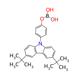 CC(C)(C)c1ccc2c(c1)c1cc(C(C)(C)C)ccc1n2-c1ccc(OB(O)O)cc1